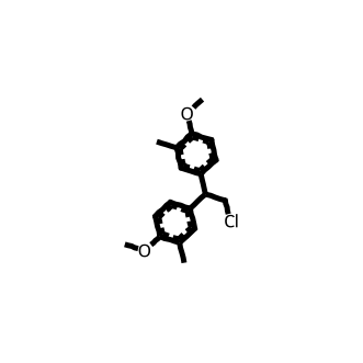 COc1ccc(C(CCl)c2ccc(OC)c(C)c2)cc1C